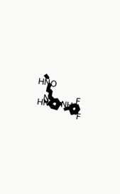 CCNC(=O)/C=C/c1n[nH]c2ccc(NCc3cc(F)cc(F)c3)cc12